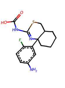 Nc1ccc(F)c(C23CCCCC2CSC(NC(=O)O)=N3)c1